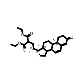 CCOC(=O)C(C[C@@H](C)[C@H]1CCC2C3C=CC4=CC(=O)CC[C@]4(C)C3CC[C@@]21C)C(=O)OCC